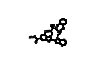 COC(=O)c1cc(OC)c2c(c1)nc(-c1cc3ncccc3n1CCCOc1ccccc1N)n2CCC(=O)OC(C)(C)C